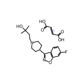 CC(C)(O)CCN1CCC(c2noc3cc(F)ccc23)CC1.O=C(O)/C=C/C(=O)O